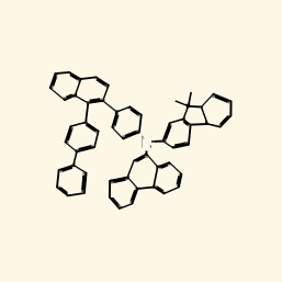 CC1(C)c2cc(N(c3ccc(-c4ccc5ccccc5c4-c4ccc(-c5ccccc5)cc4)cc3)c3cc4ccccc4c4ccccc34)ccc2C2C=CC=CC21